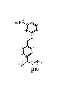 CC(=O)Nc1cccc(CCc2ccc(C(N)N(N)C=O)cc2)n1